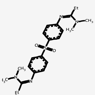 CCC(=Nc1ccc(S(=O)(=O)c2ccc(N=C(CC)N(C)C)cc2)cc1)N(C)C